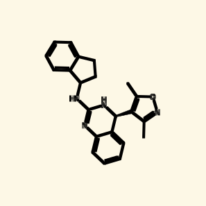 Cc1noc(C)c1[C@@H]1NC(NC2CCc3ccccc32)=Nc2ccccc21